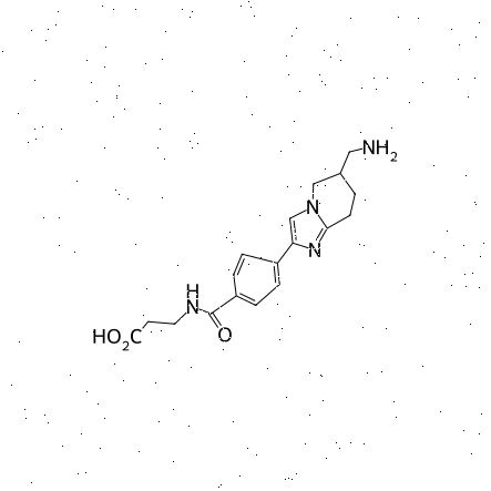 NCC1CCc2nc(-c3ccc(C(=O)NCCC(=O)O)cc3)cn2C1